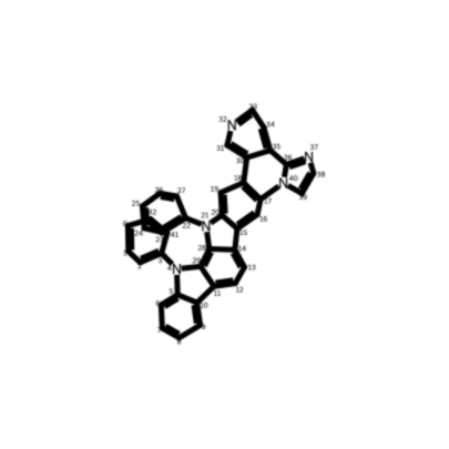 c1ccc(-n2c3ccccc3c3ccc4c5cc6c(cc5n(-c5ccccc5)c4c32)c2cnccc2c2nccn62)cc1